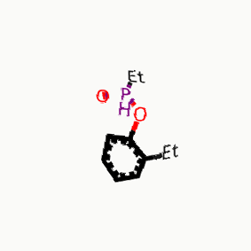 CCc1ccccc1O[PH](=O)CC